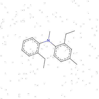 CCc1ccccc1N(C)c1ccc(C)cc1CC